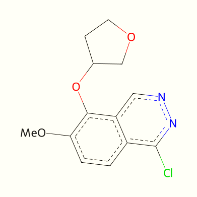 COc1ccc2c(Cl)nncc2c1OC1CCOC1